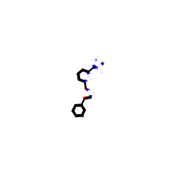 CC(C)n1cnnc1-c1cccc(-c2ncc(-c3cccc(C(=O)O)c3)o2)n1